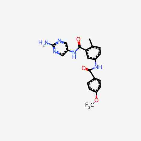 Cc1ccc(NC(=O)c2ccc(OC(F)(F)F)cc2)cc1C(=O)Nc1cnc(N)nc1